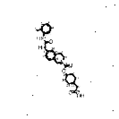 Cc1ccccc1NC(=O)Nc1ccc2c(c1)CCN(C(=O)OC1CCC(CC(=O)O)CC1)C2